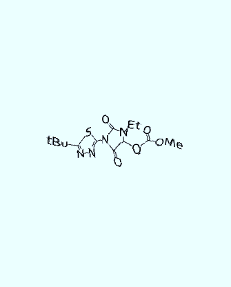 CCN1C(=O)N(c2nnc(C(C)(C)C)s2)C(=O)C1OC(=O)OC